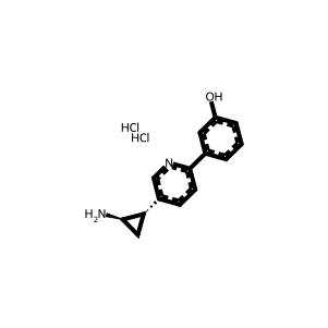 Cl.Cl.N[C@@H]1C[C@H]1c1ccc(-c2cccc(O)c2)nc1